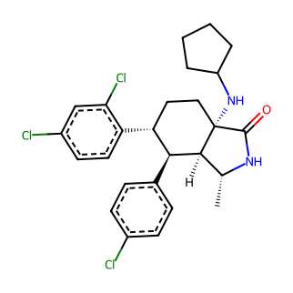 C[C@H]1NC(=O)[C@]2(NC3CCCC3)CC[C@@H](c3ccc(Cl)cc3Cl)[C@H](c3ccc(Cl)cc3)[C@H]12